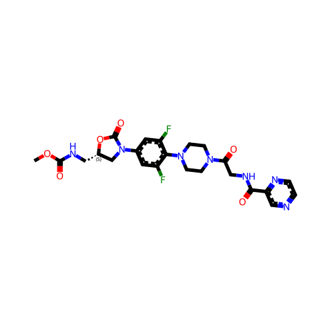 COC(=O)NC[C@H]1CN(c2cc(F)c(N3CCN(C(=O)CNC(=O)c4cnccn4)CC3)c(F)c2)C(=O)O1